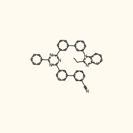 CCc1nc2ccccc2n1-c1cccc(-c2cccc(-c3nc(-c4ccccc4)nc(-c4cccc(-c5cccc(C#N)c5)c4)n3)c2)c1